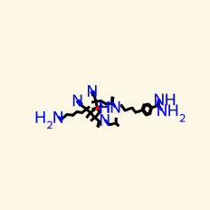 C=C(CCC(C)(C#N)C(C)(C)CC(C)(C(=C)NCC(C)C)C(C)(C)C(C)(C#N)CCCCCN)NCCCCc1ccc(C(=N)N)cc1